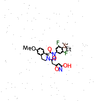 CCS(C)(C)c1c(F)cc(NC(=O)[C@H]2c3ccc(OC)cc3CCN2C(=O)Cc2cc(O)no2)cc1F